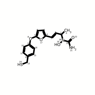 CC(/C=C/c1ccc(Oc2ccc(CS)cc2)o1)N(O)C(N)=O